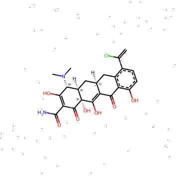 C=C(Cl)c1ccc(O)c2c1C[C@@H]1C[C@@H]3[C@@H](N(C)C)C(O)=C(C(N)=O)C(=O)[C@]3(O)C(O)=C1C2=O